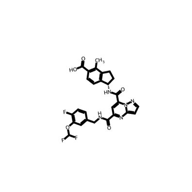 Cc1c(C(=O)O)ccc2c1CC[C@@H]2NC(=O)c1cc(C(=O)NCc2ccc(F)c(OC(F)F)c2)nc2ccnn12